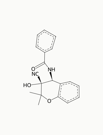 CC1(C)Oc2ccccc2[C@H](NC(=O)c2ccccc2)[C@]1(O)C#N